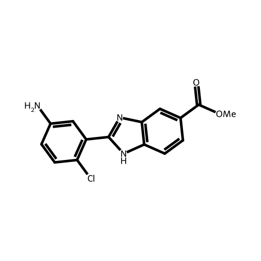 COC(=O)c1ccc2[nH]c(-c3cc(N)ccc3Cl)nc2c1